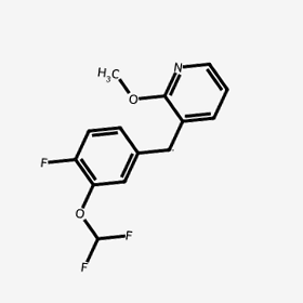 COc1ncccc1[CH]c1ccc(F)c(OC(F)F)c1